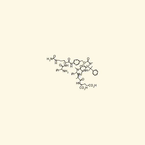 C/C(=C\C(C(C)C)N(C)C(=O)[C@@H](NC(=O)[C@@H](N(C)C(=O)OCc1ccc(NC(=O)[C@H](CCCNC(N)=O)NC(=O)C(N)C(C)C)cc1)C(C)(C)c1ccccc1)C(C)(C)C)C(=O)N[C@H](CCC(=O)O)C(=O)O